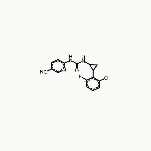 N#Cc1ccc(NC(=O)NC2CC2c2c(F)cccc2Cl)nc1